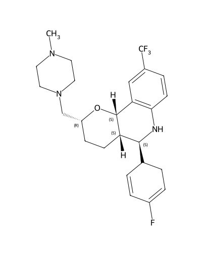 CN1CCN(C[C@H]2CC[C@@H]3[C@H](O2)c2cc(C(F)(F)F)ccc2N[C@H]3C2C=CC(F)=CC2)CC1